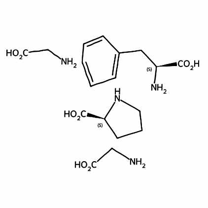 NCC(=O)O.NCC(=O)O.N[C@@H](Cc1ccccc1)C(=O)O.O=C(O)[C@@H]1CCCN1